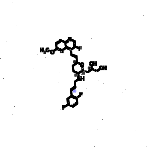 COc1ccc2ncc(F)c(C=C[C@@H]3CC[C@@H](NC/C=C/c4cc(F)ccc4F)[C@@H](C[C@@H](O)CO)O3)c2n1